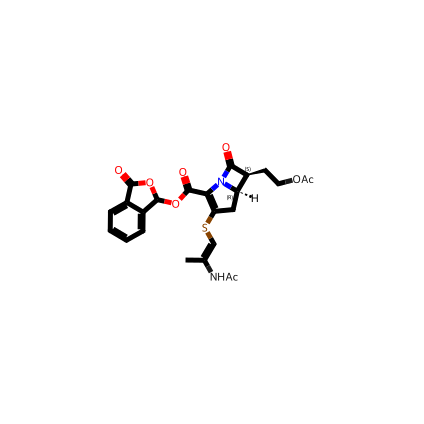 CC(=O)NC(C)=CSC1=C(C(=O)OC2OC(=O)c3ccccc32)N2C(=O)[C@@H](CCOC(C)=O)[C@H]2C1